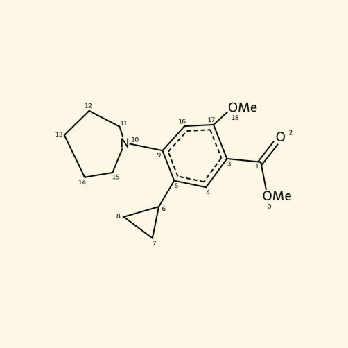 COC(=O)c1cc(C2CC2)c(N2CCCCC2)cc1OC